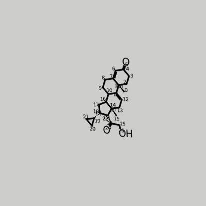 C[C@]12CCC(=O)C=C1CCC1C2=CC[C@@]2(C)C1C[C@@H](C1CC1)[C@@H]2C(=O)CO